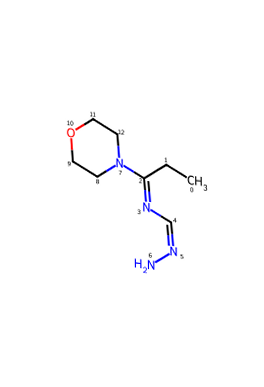 CC/C(=N\C=N/N)N1CCOCC1